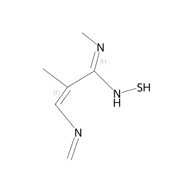 C=N/C=C(C)\C(=N/C)NS